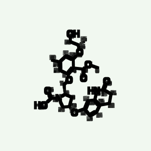 COC(=O)c1c(OC[C@H]2C[C@H](Oc3ccc4c(c3)NC(=O)CC4)CN2C(=O)O)cc(C)cc1O[C@@H](C)CO